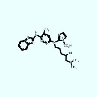 Cc1cc(N(CCCC(O)CN(C)C)C2=NC=C[SH]2C(=O)O)nnc1Nc1nc2ccccc2s1